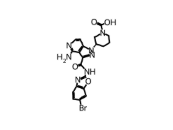 Nc1nccc2c1c(C(=O)Nc1nc3ccc(Br)cc3o1)nn2[C@@H]1CCCN(C(=O)O)C1